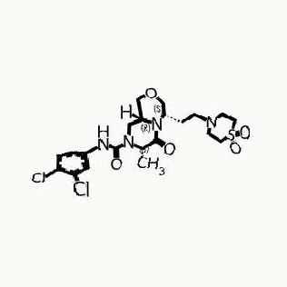 C[C@H]1C(=O)N2[C@@H](CCN3CCS(=O)(=O)CC3)COC[C@H]2CN1C(=O)Nc1ccc(Cl)c(Cl)c1